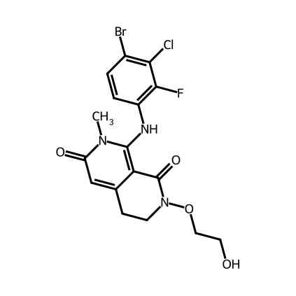 Cn1c(Nc2ccc(Br)c(Cl)c2F)c2c(cc1=O)CCN(OCCO)C2=O